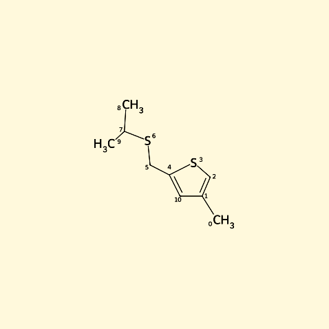 Cc1csc(CSC(C)C)c1